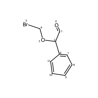 O=[C]C(OCBr)c1ccccc1